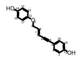 Oc1ccc(C#C/C=C/COc2ccc(O)cc2)cc1